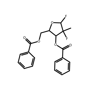 CC1(F)C(F)OC(COC(=O)c2ccccc2)C1OC(=O)c1ccccc1